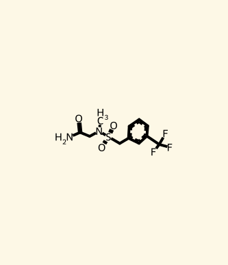 CN(CC(N)=O)S(=O)(=O)Cc1cccc(C(F)(F)F)c1